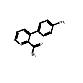 NC(=O)c1ncccc1-c1ccc(N)cc1